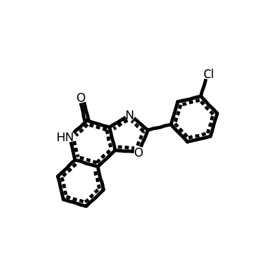 O=c1[nH]c2ccccc2c2oc(-c3cccc(Cl)c3)nc12